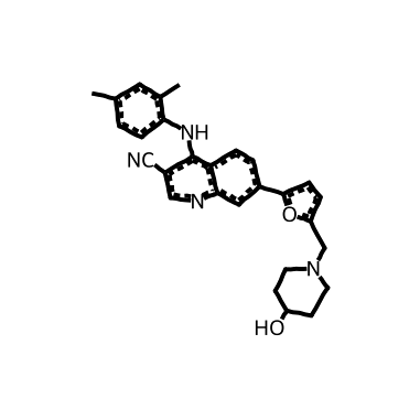 Cc1ccc(Nc2c(C#N)cnc3cc(-c4ccc(CN5CCC(O)CC5)o4)ccc23)c(C)c1